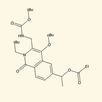 CCCCOc1c(CNC(=O)OC(C)(C)C)n(CC(C)(C)C)c(=O)c2ccc(C(C)OC(=O)CC)cc12